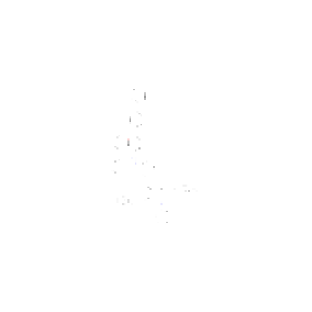 CC(C)(C)c1ccc2c3c(-c4cccc(N(c5ccc(-c6ccc(-c7ccccc7)cc6)cc5)c5ccccc5-c5ccccc5)c4)cc(C(C)(C)C)cc3n(-c3ccccc3)c2c1